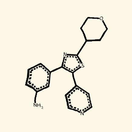 Nc1cccc(-c2nc(C3CCOCC3)sc2-c2ccncc2)c1